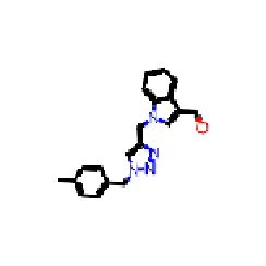 Cc1ccc(Cn2cc(Cn3cc(C=O)c4ccccc43)nn2)cc1